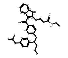 CCCC(Cc1ccc(C(=O)c2c(CCCC(=O)OCC)[nH]c3ccccc23)cc1)c1ccc(CC(C)C)cc1